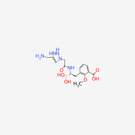 COc1c(C[C@H](NC(=O)CN2C=C(CN)NN2)B(O)O)cccc1C(=O)O